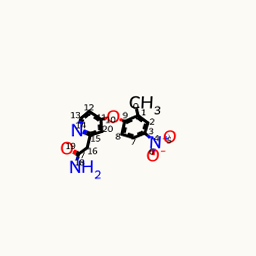 Cc1cc([N+](=O)[O-])ccc1Oc1ccnc(CC(N)=O)c1